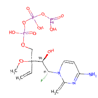 C=CC(COP(=O)(O)OP(=O)(O)O[PH](=O)O)(OC)[C@@H](O)[C@@H](F)N1C=CC(N)=NC1=C